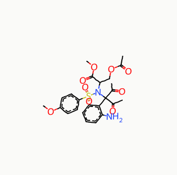 COC(=O)C(COC(C)=O)N(C(C(C)=O)(C(C)=O)c1ccccc1N)S(=O)(=O)c1ccc(OC)cc1